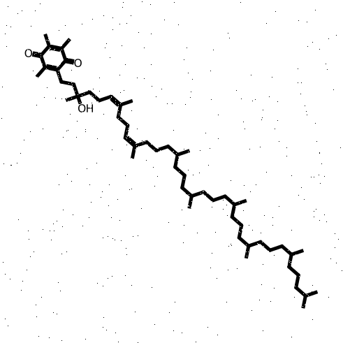 CC(=CCCC(C)(O)CCC1=C(C)C(=O)C(C)=C(C)C1=O)CCC=C(C)CCCC(C)CCCC(C)CCCC(C)CCCC(C)CCCC(C)CCCC(C)C